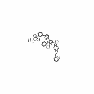 CS(=O)(=O)c1cccc(-c2ccc(-c3cc(C(=O)N4CCN(CCc5ccccn5)CC4)nn3-c3ccccc3Cl)s2)c1